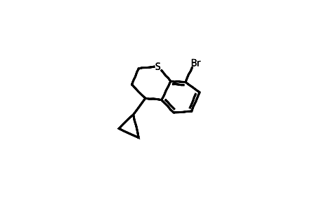 Brc1cccc2c1SCCC2C1CC1